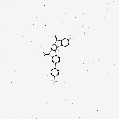 C[Si](C)(C)c1ccc(-c2ccc3c(c2)C(=C(C#N)C#N)c2sc4c(c2-3)-c2ccc([Si](C)(C)C)cc2C4=C(C#N)C#N)cc1